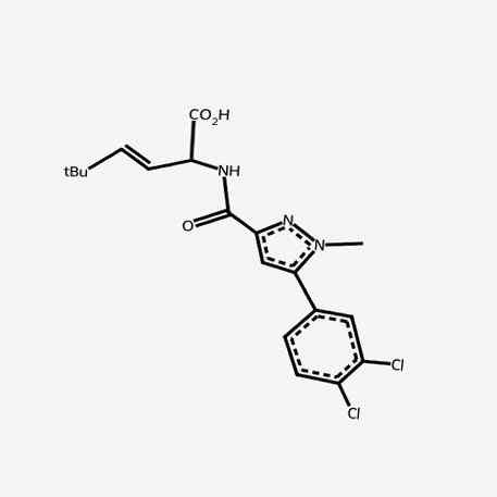 Cn1nc(C(=O)NC(C=CC(C)(C)C)C(=O)O)cc1-c1ccc(Cl)c(Cl)c1